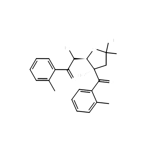 Cc1ccccc1C(=O)C(O)[C@H]1OC(O)(Cl)C[C@@]1(O)C(=O)c1ccccc1C